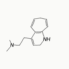 CN(C)CCC1=CCNC2=C1C=CCC=C2